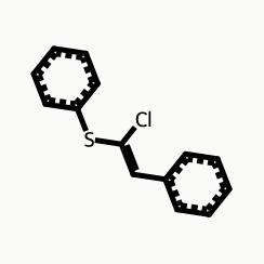 ClC(=Cc1ccccc1)Sc1ccccc1